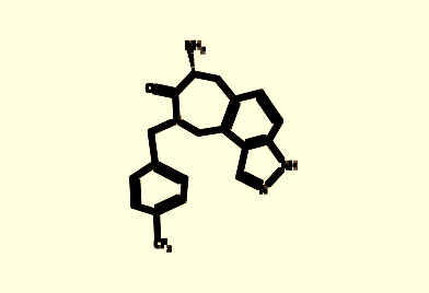 N[C@@H]1Cc2ccc3[nH]ncc3c2CN(Cc2ccc(C(F)(F)F)cc2)C1=O